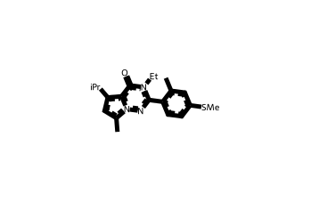 CCn1c(-c2ccc(SC)cc2C)nn2c(C)cc(C(C)C)c2c1=O